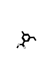 [CH2]c1cc(CC)cc(C(=O)OC)c1